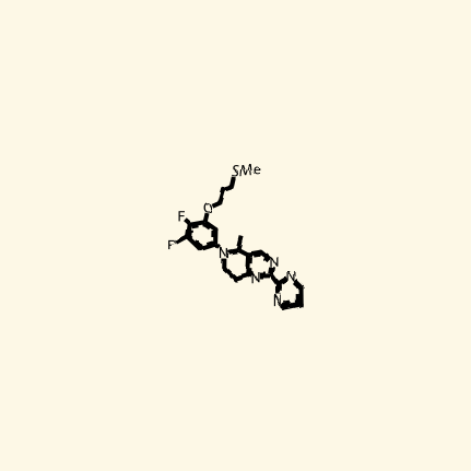 CSCCCOc1cc(N2CCc3nc(-c4ncccn4)ncc3C2C)cc(F)c1F